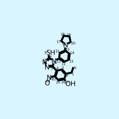 CCc1cc(-c2nnc(S)n2-c2cccc(N3CCCC3)c2)c(N=O)cc1O